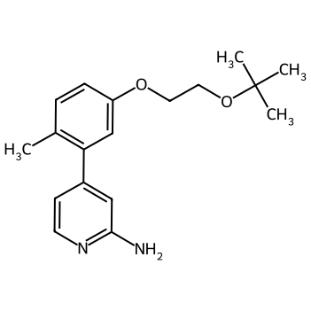 Cc1ccc(OCCOC(C)(C)C)cc1-c1ccnc(N)c1